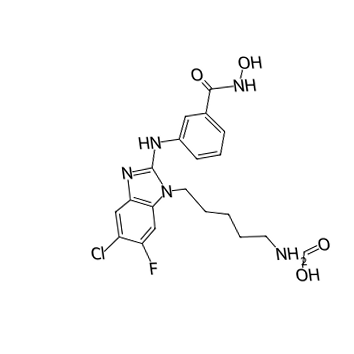 NCCCCCn1c(Nc2cccc(C(=O)NO)c2)nc2cc(Cl)c(F)cc21.O=CO